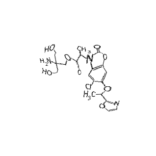 CC(Oc1cc2oc(=O)n([C@H](C)C(=O)OCC(N)(CO)CO)c2cc1Cl)c1ncco1